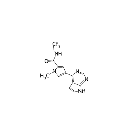 Cn1cc(-c2ncnc3[nH]ccc23)cc1C(=O)NCC(F)(F)F